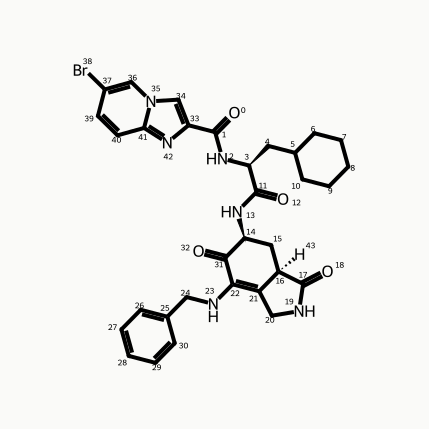 O=C(N[C@@H](CC1CCCCC1)C(=O)N[C@H]1C[C@H]2C(=O)NCC2=C(NCc2ccccc2)C1=O)c1cn2cc(Br)ccc2n1